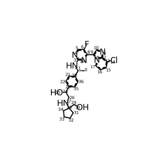 C[C@H](Nc1ncc(F)c(-c2cnc3c(Cl)cccn23)n1)c1ccc([C@H](O)CNC2(CO)CCCC2)cc1